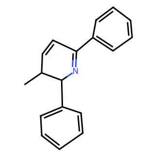 CC1C=CC(c2ccccc2)=NC1c1ccccc1